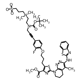 COC(=O)c1nc(N2CCCc3c2nnc(Nc2nc4ccccc4s2)c3C)sc1CCCOc1ccc(C#CCN(CC[N+](C)(C)CCCS(=O)(=O)[O-])C(=O)OC(C)(C)C)cc1F